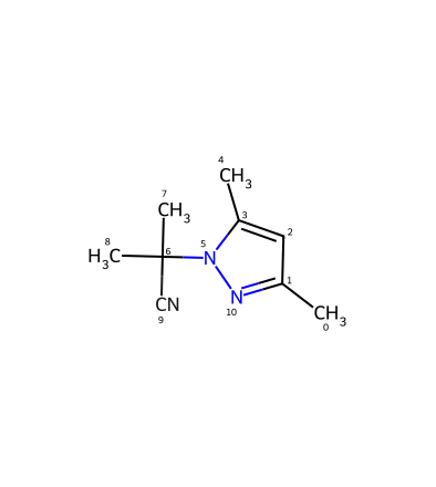 Cc1cc(C)n(C(C)(C)C#N)n1